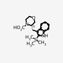 C[Si](C)(C)c1[nH]c2ccccc2c1C[C@H]1COCCN1C(=O)O